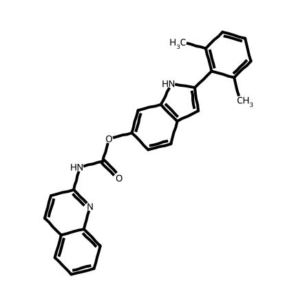 Cc1cccc(C)c1-c1cc2ccc(OC(=O)Nc3ccc4ccccc4n3)cc2[nH]1